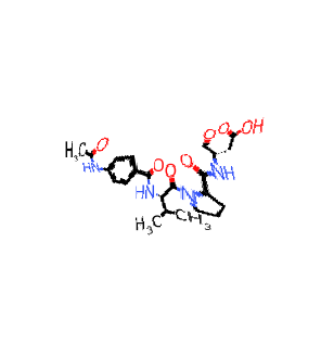 CC(=O)Nc1ccc(C(=O)N[C@H](C(=O)N2CCCC2C(=O)N[C@H](C=O)CC(=O)O)C(C)C)cc1